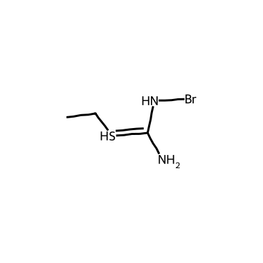 CC[SH]=C(N)NBr